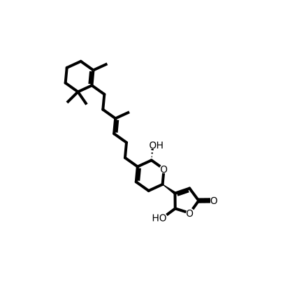 CC1=C(CC/C(C)=C/CCC2=CC[C@H](C3=CC(=O)OC3O)O[C@H]2O)C(C)(C)CCC1